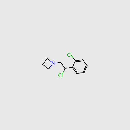 Clc1ccccc1C(Cl)CN1CCC1